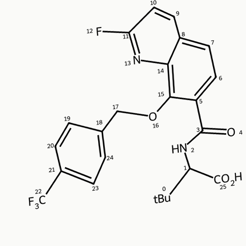 CC(C)(C)C(NC(=O)c1ccc2ccc(F)nc2c1OCc1ccc(C(F)(F)F)cc1)C(=O)O